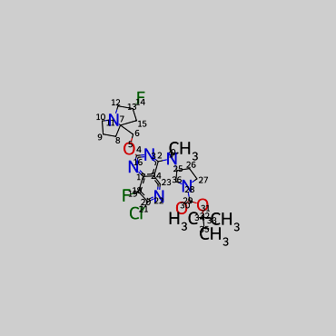 CN(c1nc(OCC23CCCN2C[C@H](F)C3)nc2c(F)c(Cl)ncc12)[C@@H]1CCN(C(=O)OC(C)(C)C)C1